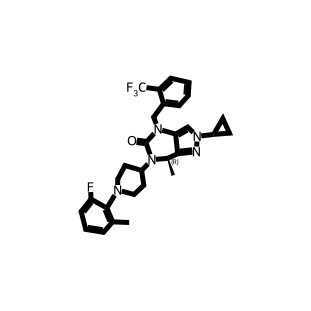 Cc1cccc(F)c1N1CCC(N2C(=O)N(Cc3ccccc3C(F)(F)F)c3cn(C4CC4)nc3[C@H]2C)CC1